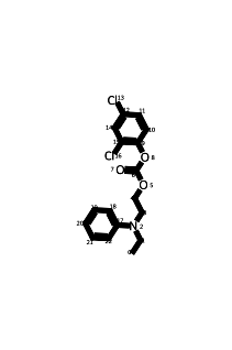 CCN(CCOC(=O)Oc1ccc(Cl)cc1Cl)c1ccccc1